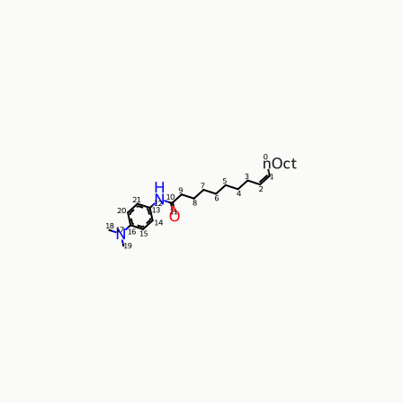 CCCCCCCC/C=C\CCCCCCCC(=O)Nc1ccc(N(C)C)cc1